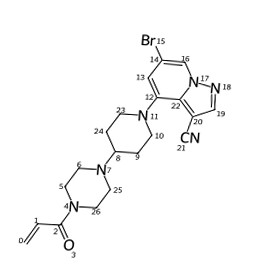 C=CC(=O)N1CCN(C2CCN(c3cc(Br)cn4ncc(C#N)c34)CC2)CC1